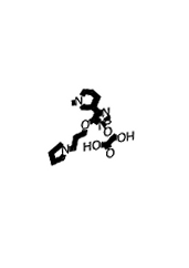 CN1CCC=C(c2nsnc2OCCCN2CCCC2)C1.O=C(O)C(=O)O